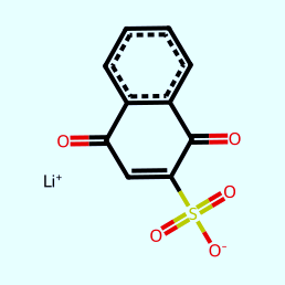 O=C1C=C(S(=O)(=O)[O-])C(=O)c2ccccc21.[Li+]